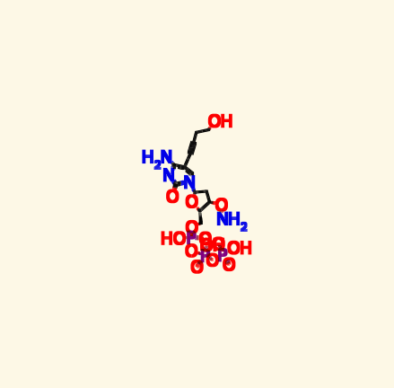 NO[C@@H]1C[C@H](n2cc(C#CCCO)c(N)nc2=O)O[C@@H]1COP(=O)(O)OP(=O)(O)OP(=O)(O)O